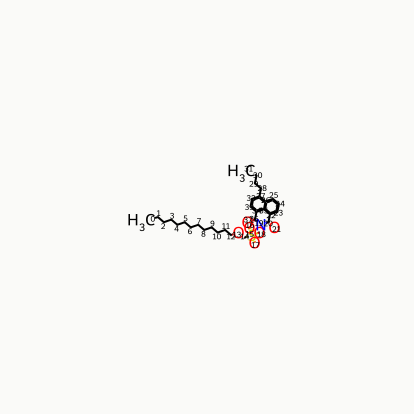 CCCCCCCCCCCCCOCS(=O)(=O)ON1C(=O)c2cccc3c(CCCC)ccc(c23)C1=O